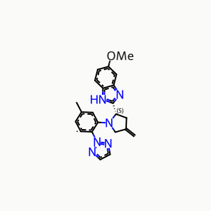 C=C1C[C@@H](c2nc3cc(OC)ccc3[nH]2)N(c2cc(C)c[c]c2-n2nccn2)C1